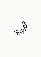 CCOC(=O)c1ccc(Oc2ccc3c(c2)COB3C)nc1C